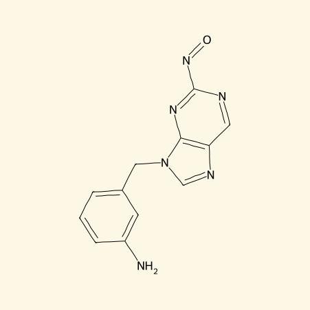 Nc1cccc(Cn2cnc3cnc(N=O)nc32)c1